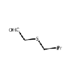 CC(C)CSCC=O